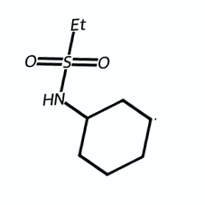 CCS(=O)(=O)NC1C[CH]CCC1